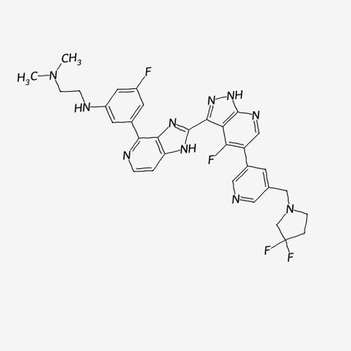 CN(C)CCNc1cc(F)cc(-c2nccc3[nH]c(-c4n[nH]c5ncc(-c6cncc(CN7CCC(F)(F)C7)c6)c(F)c45)nc23)c1